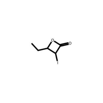 CCC1OC(=O)C1I